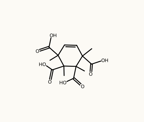 CC1(C(=O)O)C=CC(C)(C(=O)O)C(C)(C(=O)O)C1(C)C(=O)O